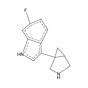 Fc1ccc2c(C34CNCC3C4)c[nH]c2c1